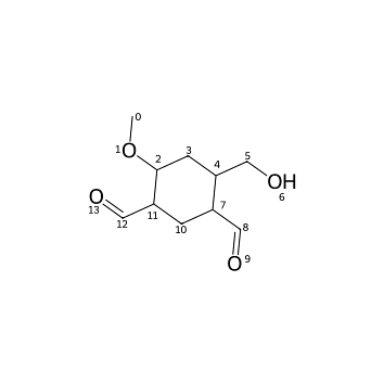 COC1CC(CO)C(C=O)CC1C=O